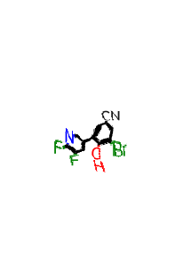 N#Cc1cc(Br)c(O)c(-c2cnc(F)c(F)c2)c1